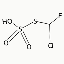 O=S(=O)(O)SC(F)Cl